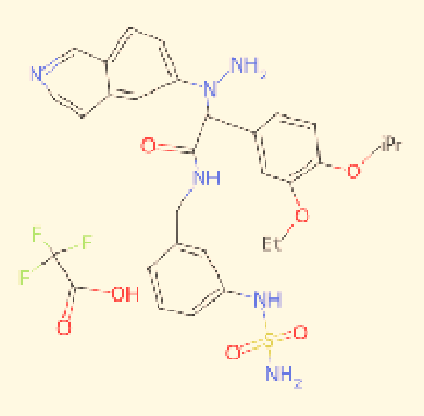 CCOc1cc(C(C(=O)NCc2cccc(NS(N)(=O)=O)c2)N(N)c2ccc3cnccc3c2)ccc1OC(C)C.O=C(O)C(F)(F)F